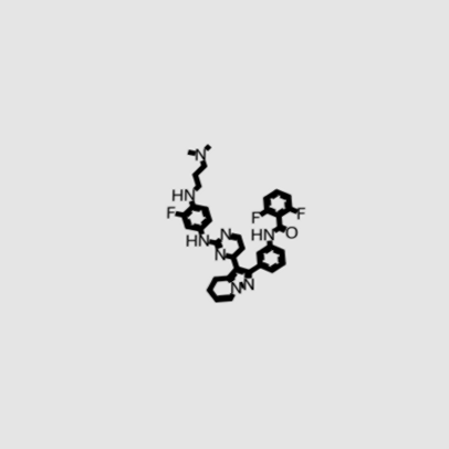 CN(C)CCCNc1ccc(NC2=NC(c3c(-c4cccc(NC(=O)c5c(F)cccc5F)c4)nn4c3CCC=C4)CC=N2)cc1F